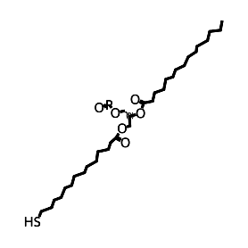 CCCCCCCCCCCCCCC(=O)O[C@@H](COP=O)COC(=O)CCCCCCCCCCCCCS